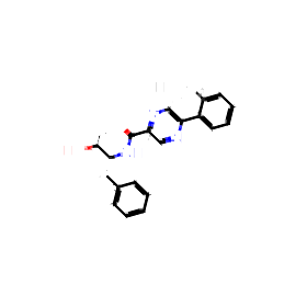 O=C(N[C@H](Cc1ccccc1)[C@@H](O)C(=O)O)c1cnc(-c2ccccc2C(=O)O)cn1